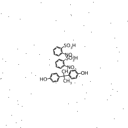 CC(C)(c1ccc(O)cc1)c1ccc(O)cc1.O=[N+]([O-])c1ccccc1S(=O)(=O)O.O=[N+]([O-])c1ccccc1S(=O)(=O)O